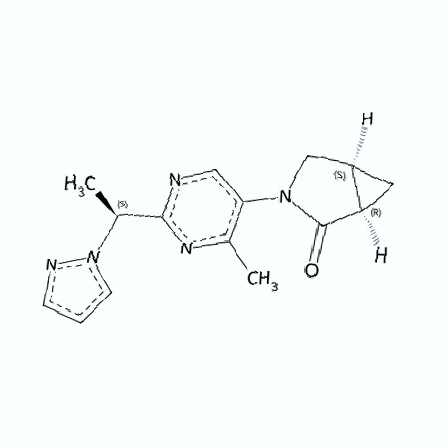 Cc1nc([C@H](C)n2cccn2)ncc1N1C[C@H]2C[C@H]2C1=O